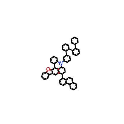 c1ccc(-c2ccccc2-c2ccccc2-c2cccc(N(c3ccc(-c4cccc5c4ccc4ccccc45)cc3)c3ccccc3-c3cccc4c3oc3ccccc34)c2)cc1